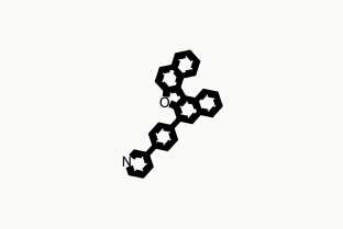 c1cncc(-c2ccc(-c3cc4ccccc4c4c3oc3ccc5ccccc5c34)cc2)c1